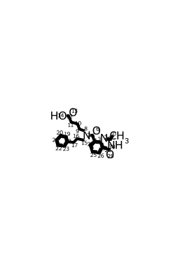 Cc1nc2c(C(=O)N(CCCCC(=O)O)CCCc3ccccc3)cccc2c(=O)[nH]1